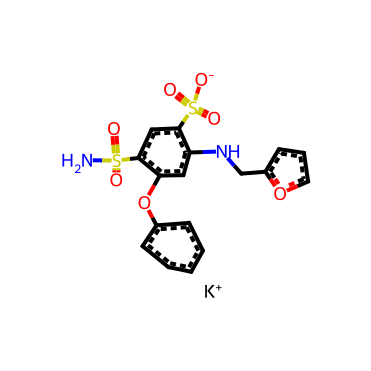 NS(=O)(=O)c1cc(S(=O)(=O)[O-])c(NCc2ccco2)cc1Oc1ccccc1.[K+]